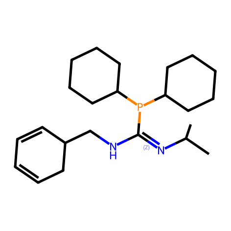 CC(C)/N=C(/NCC1C=CC=CC1)P(C1CCCCC1)C1CCCCC1